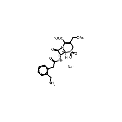 CC(=O)OCC1=C(C(=O)[O-])N2C(=O)[C@H](NC(=O)Cc3ccccc3CN)[C@@H]2S(=O)(=O)C1.[Na+]